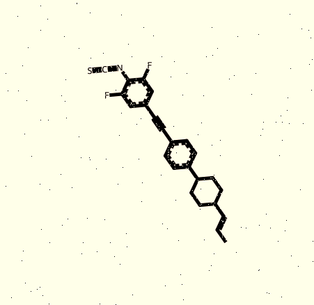 C/C=C/C1CCC(c2ccc(C#Cc3cc(F)c(N=C=S)c(F)c3)cc2)CC1